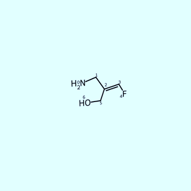 NC/C(=C/F)CO